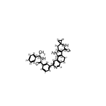 C[C@H](NC(=O)c1cccc(-c2cc3c(cn2)CCc2c-3[nH]c3c2C(=O)NC2(CC2)C3)c1)c1ccccc1